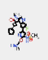 CC(C)NCCOc1ncc(-c2cc3c(cc2F)ncc2c3[C@]3(C[C@H](c4ccccc4)C3)C(=O)N2C)cc1NS(C)(=O)=O